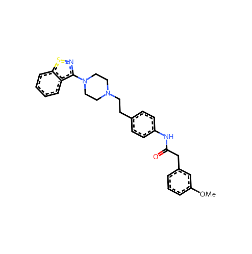 COc1cccc(CC(=O)Nc2ccc(CCN3CCN(c4nsc5ccccc45)CC3)cc2)c1